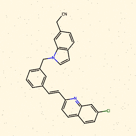 N#CCc1ccc2ccn(Cc3cccc(/C=C/c4ccc5ccc(Cl)cc5n4)c3)c2c1